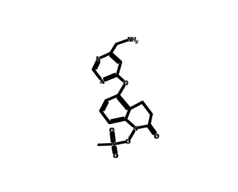 CS(=O)(=O)ON1C(=O)CCc2c(Oc3cc(CN)ncn3)cccc21